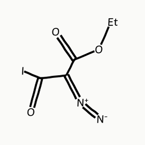 CCOC(=O)C(=[N+]=[N-])C(=O)I